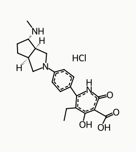 CCc1c(-c2ccc(N3C[C@H]4CC[C@H](NC)[C@H]4C3)cc2)[nH]c(=O)c(C(=O)O)c1O.Cl